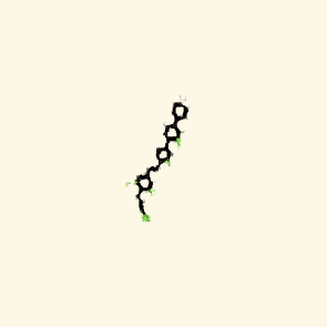 CCCc1ccc(-c2ccc(-c3ccc(/C=C/c4cc(F)c(C/C=C/C(F)F)c(F)c4)c(F)c3)c(F)c2)cc1